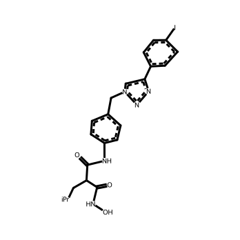 CC(C)CC(C(=O)NO)C(=O)Nc1ccc(Cn2cc(-c3ccc(I)cc3)nn2)cc1